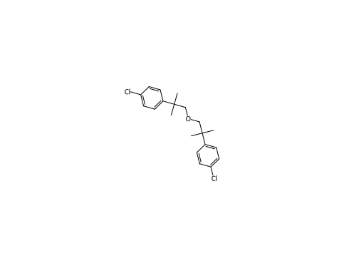 CC(C)(COCC(C)(C)c1ccc(Cl)cc1)c1ccc(Cl)cc1